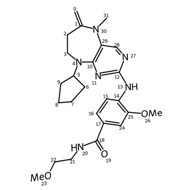 C=C1CCN(C2CCCC2)c2nc(Nc3ccc(C(=O)NCCOC)cc3OC)ncc2N1C